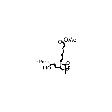 CCCCC[C@@H](O)C=CC1CC(F)(F)C(=O)N1CCCCCCC(=O)OC